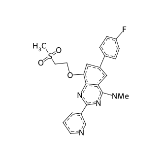 CNc1nc(-c2cccnc2)nc2c(OCCS(C)(=O)=O)cc(-c3ccc(F)cc3)cc12